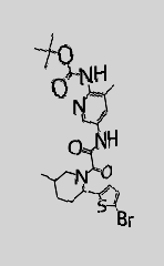 Cc1cc(NC(=O)C(=O)N2CC(C)CCC2c2ccc(Br)s2)cnc1NC(=O)OC(C)(C)C